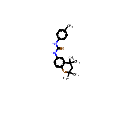 Cc1ccc(NC(=S)Nc2ccc3c(c2)C(C)(C)CC(C)(C)S3)cc1